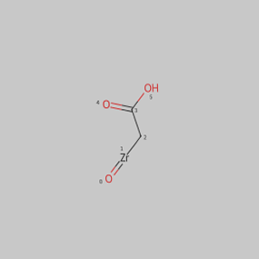 [O]=[Zr][CH2]C(=O)O